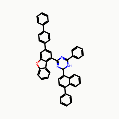 c1ccc(C2=NC(c3cc(-c4ccc(-c5ccccc5)cc4)cc4oc5ccccc5c34)=NC(c3ccc(-c4ccccc4)c4ccccc34)N2)cc1